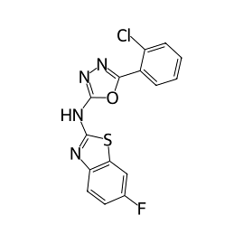 Fc1ccc2nc(Nc3nnc(-c4ccccc4Cl)o3)sc2c1